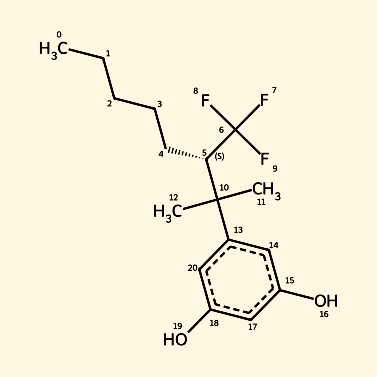 CCCCC[C@H](C(F)(F)F)C(C)(C)c1cc(O)cc(O)c1